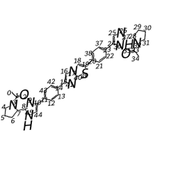 CC(=O)N1CCCC1c1nc(-c2ccc(-c3cn4cc(-c5ccc(-c6cnc([C@@H]7CCCN7C(C)=O)[nH]6)cc5)sc4n3)cc2)c[nH]1